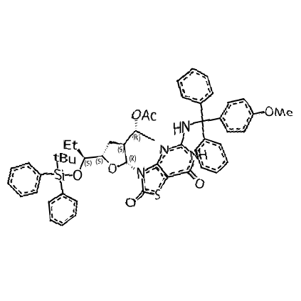 CC[C@H](O[Si](c1ccccc1)(c1ccccc1)C(C)(C)C)[C@@H]1C[C@@H]([C@@H](C)OC(C)=O)[C@H](n2c(=O)sc3c(=O)[nH]c(NC(c4ccccc4)(c4ccccc4)c4ccc(OC)cc4)nc32)O1